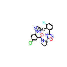 COc1c(F)cccc1-c1noc([C@@H]2CCCN2C(=O)c2cc(Cl)ccc2-n2nccn2)n1